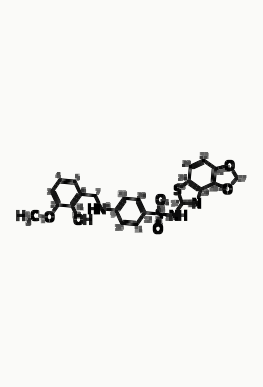 COc1cccc(CNc2ccc(S(=O)(=O)Nc3nc4c5c(ccc4s3)OCO5)cc2)c1O